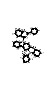 c1ccc(-c2nc(-n3c4ccccc4c4c5c6c(cc43)Oc3ccccc3N6c3ccccc3O5)c3ccccc3n2)cc1